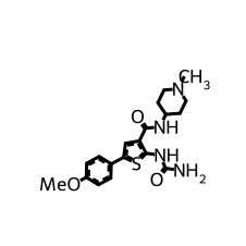 COc1ccc(-c2cc(C(=O)NC3CCN(C)CC3)c(NC(N)=O)s2)cc1